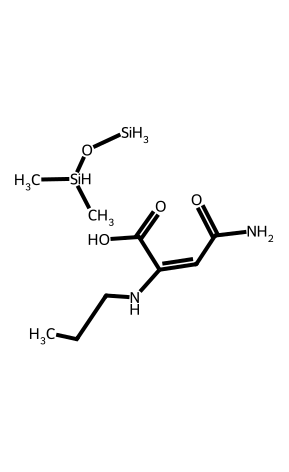 CCCN/C(=C/C(N)=O)C(=O)O.C[SiH](C)O[SiH3]